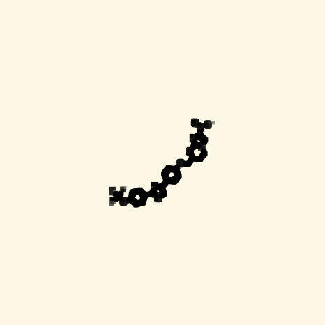 O=[N+]([O-])c1cn2c(n1)OC(COc1ccc(-c3coc(-c4ccc(OC(F)(F)F)cc4)n3)cc1)CC2